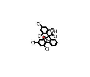 O=C(O)C(C(=O)O)(c1ccccc1-c1c(Cl)cc(Cl)cc1Cl)c1c(Cl)cc(Cl)cc1Cl